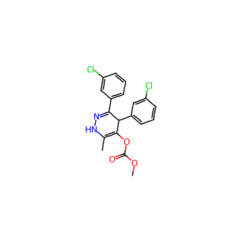 COC(=O)OC1=C(C)NN=C(c2cccc(Cl)c2)C1c1cccc(Cl)c1